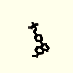 COc1ccc2c(-c3ccc(CCS(C)(=N)=O)cc3)ncnc2c1